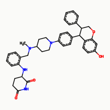 CN(Cc1ccccc1NC1CCC(=O)NC1=O)C1CCN(c2ccc(C3c4ccc(O)cc4OCC3c3ccccc3)cc2)CC1